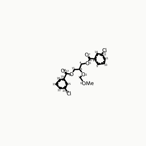 COCOC(COC(=O)c1cccc(Cl)c1)COC(=O)c1cccc(Cl)c1